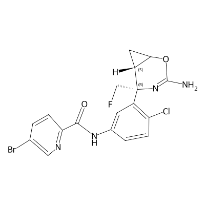 NC1=N[C@@](CF)(c2cc(NC(=O)c3ccc(Br)cn3)ccc2Cl)[C@@H]2CC2O1